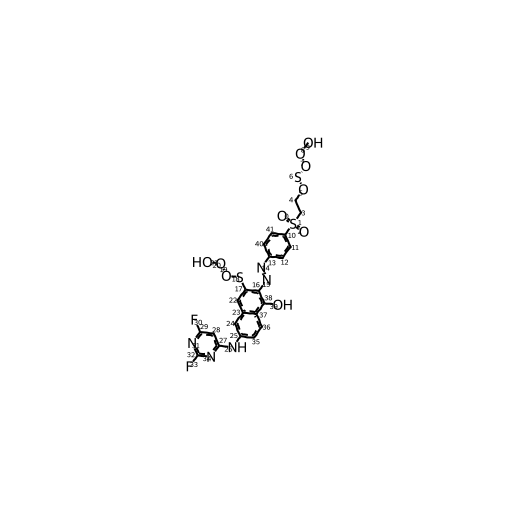 O=S(=O)(CCOSOOO)c1ccc(/N=N/c2c(SOOO)cc3cc(Nc4cc(F)nc(F)n4)ccc3c2O)cc1